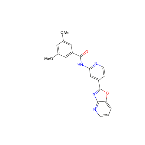 COc1cc(OC)cc(C(=O)Nc2cc(-c3nc4ncccc4o3)ccn2)c1